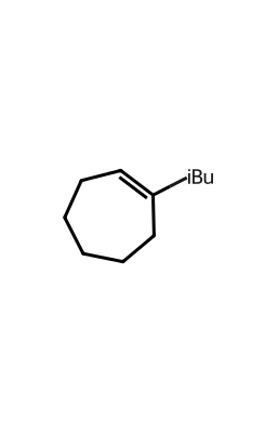 [CH2]C(CC)C1=CCCCCC1